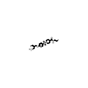 NC/C(=C\F)COc1ccc(S(=O)(=O)N2CCC(C(=O)NCCF)CC2)cn1